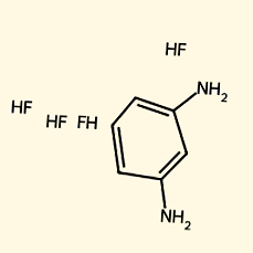 F.F.F.F.Nc1cccc(N)c1